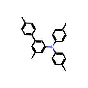 Cc1ccc(-c2cc(C)cc(N(c3ccc(C)cc3)c3ccc(C)cc3)c2)cc1